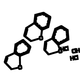 C1=Cc2ccccc2OC1.C1=Cc2ccccc2OC1.C1=Cc2ccccc2OC1.Cl.Cl.Cl